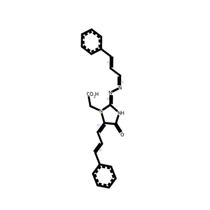 O=C(O)CN1/C(=C/C=C/c2ccccc2)C(=O)N\C1=N/N=C\C=C\c1ccccc1